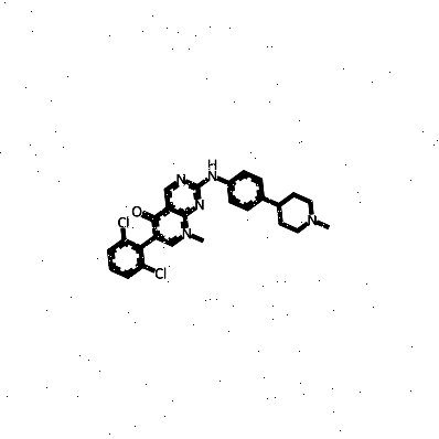 CN1CCC(c2ccc(Nc3ncc4c(=O)c(-c5c(Cl)cccc5Cl)cn(C)c4n3)cc2)CC1